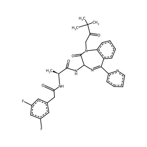 C[C@H](NC(=O)Cc1cc(F)cc(F)c1)C(=O)NC1N=C(c2ccccn2)c2ccccc2N(CC(=O)C(C)(C)C)C1=O